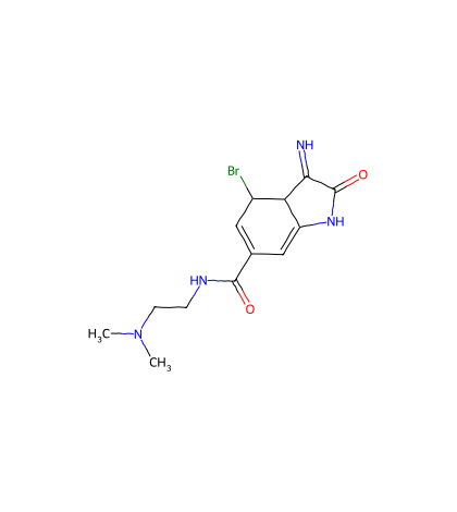 CN(C)CCNC(=O)C1=CC(Br)C2C(=N)C(=O)NC2=C1